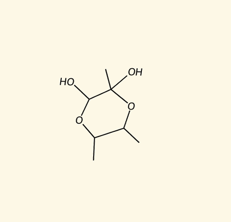 CC1OC(O)C(C)(O)OC1C